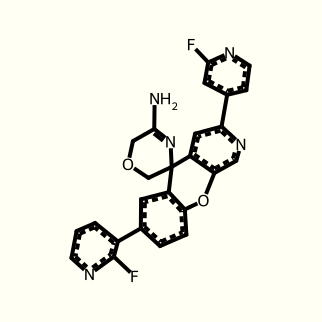 NC1=NC2(COC1)c1cc(-c3cccnc3F)ccc1Oc1cnc(-c3ccnc(F)c3)cc12